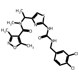 Cc1noc(C)c1C(=O)N(C)C(C)c1csc(NC(=O)NCc2ccc(Cl)c(Cl)c2)n1